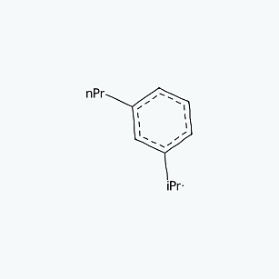 CCCc1cccc([C](C)C)c1